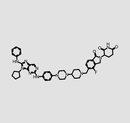 O=C1CCC(N2Cc3c(ccc(CN4CCC(N5CCN(c6ccc(Nc7ncc8nc(Nc9ccccc9)n(C9CCCC9)c8n7)cc6)CC5)CC4)c3F)C2=O)C(=O)N1